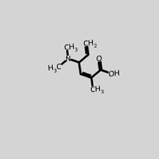 C=CC(C=C(C)C(=O)O)N(C)C